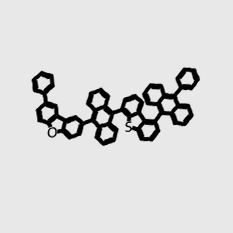 c1ccc(-c2ccc3oc4ccc(-c5c6ccccc6c(-c6cccc7c6sc6cccc(-c8c9ccccc9c(-c9ccccc9)c9ccccc89)c67)c6ccccc56)cc4c3c2)cc1